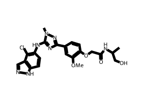 COc1cc(-c2nc(Nc3ccc4[nH]ncc4c3Cl)n(C)n2)ccc1OCC(=O)NC(C)CO